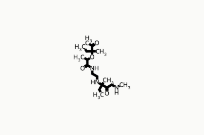 CCC(C)(NCCNC(=O)C(C)OC(C)(CC)C(C)=O)C(=O)CNC